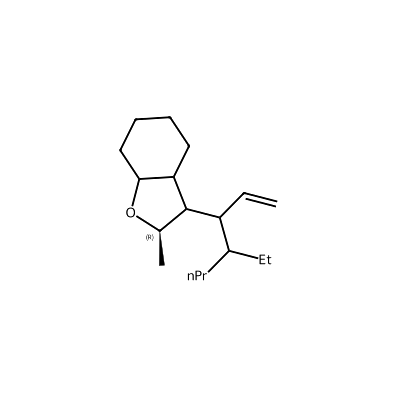 C=CC(C(CC)CCC)C1C2CCCCC2O[C@@H]1C